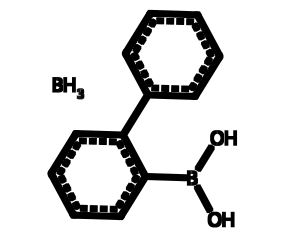 B.OB(O)c1ccccc1-c1ccccc1